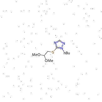 CCCCn1ncnc1SCC(OC)OC